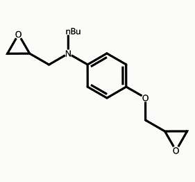 CCCCN(CC1CO1)c1ccc(OCC2CO2)cc1